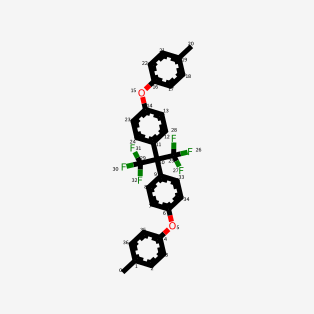 Cc1ccc(Oc2ccc(C(c3ccc(Oc4ccc(C)cc4)cc3)(C(F)(F)F)C(F)(F)F)cc2)cc1